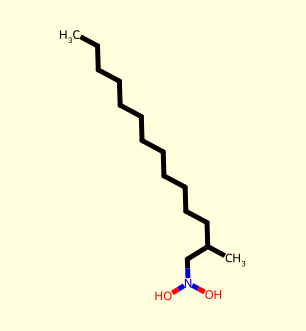 CCCCCCCCCCCCC(C)CN(O)O